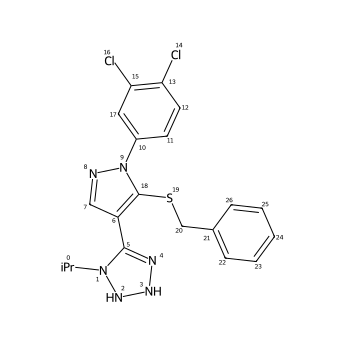 CC(C)N1NNN=C1c1cnn(-c2ccc(Cl)c(Cl)c2)c1SCc1ccccc1